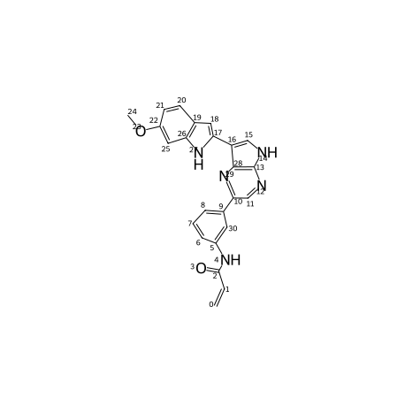 C=CC(=O)Nc1cccc(-c2cnc3[nH]cc(-c4cc5ccc(OC)cc5[nH]4)c3n2)c1